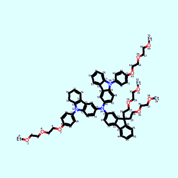 CCOCCOCCOc1ccc(-n2c3c(c4cc(N(c5ccc6c(c5)C(CCOCCOCC)(CCOCCOCC)c5ccccc5-6)c5ccc6c(c5)c5ccccc5n6-c5ccc(OCCOCCOCC)cc5)ccc42)C=CCC3)cc1